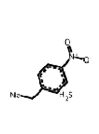 O=[N+]([O-])c1ccc([CH2][Na])cc1.S